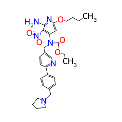 CCCCOc1cc(N(Cc2ccc(-c3ccc(CN4CCCC4)cc3)nc2)C(=O)OCC)c([N+](=O)[O-])c(N)n1